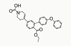 CCOC(=O)c1ccc(C2=CCN(C(=O)O)CC2)cc1-c1ccc(Oc2ccccc2)cc1